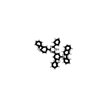 c1ccc(C2=NC(c3ccc4oc5ccccc5c4c3)=NC(c3cc(-n4c5ccccc5c5cc6ccccc6cc54)c4oc5ccccc5c4c3)N2)cc1